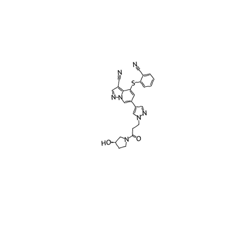 N#Cc1ccccc1Sc1cc(-c2cnn(CCC(=O)N3CC[C@@H](O)C3)c2)cn2ncc(C#N)c12